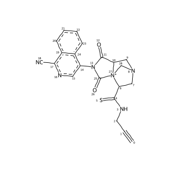 C#CCNC(=S)C1CN2CC3C(=O)N(c4cnc(C#N)c5ccccc45)C(=O)[N+]31C2